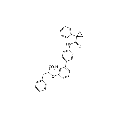 O=C(O)C(Cc1ccccc1)Oc1cccc(-c2ccc(NC(=O)C3(c4ccccc4)CC3)cc2)c1